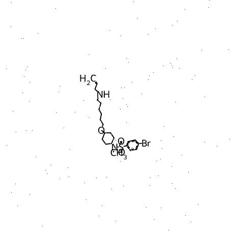 C=CCNCCCCCCOC1CCC(N(C)S(=O)(=O)c2ccc(Br)cc2)CC1